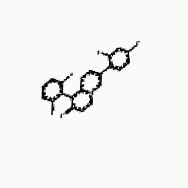 O=c1ccn2cc(-c3ccc(F)cc3F)ccc2c1-c1c(F)cccc1F